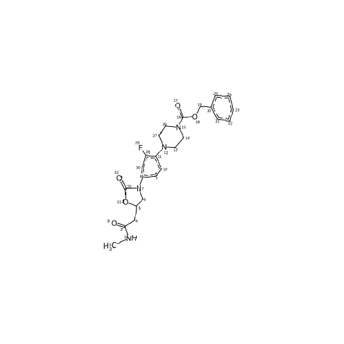 CNC(=O)CC1CN(c2ccc(N3CCN(C(=O)OCc4ccccc4)CC3)c(F)c2)C(=O)O1